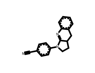 N#Cc1ccc(N2CCC3Cc4ccccc4N=C32)cc1